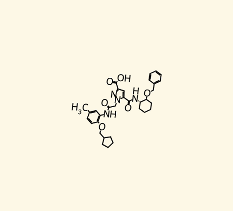 Cc1ccc(OCC2CCCC2)c(NC(=O)Cn2nc(C(=O)O)cc2C(=O)N[C@H]2CCCC[C@@H]2OCc2ccccc2)c1